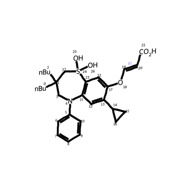 CCCCC1(CCCC)CN(c2ccccc2)c2cc(C3CC3)c(O/C=C/C(=O)O)cc2S(O)(O)C1